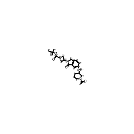 CC(=O)N1CCCC(Nc2ccc3c(c2)C(=O)N(C2CN(C(=O)OC(C)(C)C)C2)C3)C1